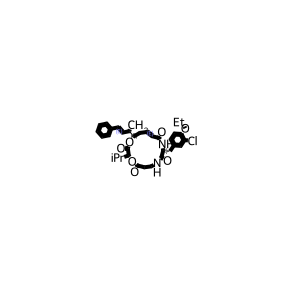 CCOc1ccc(C[C@H]2NC(=O)/C=C/C[C@@H](C(C)/C=C/c3ccccc3)OC(=O)C(C(C)C)OC(=O)CCNC2=O)cc1Cl